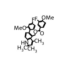 COc1ccc(C(=O)OCc2c(-c3ccc(F)cc3OC)ccc3c2C(C)=CC(C)(C)N3)cc1F